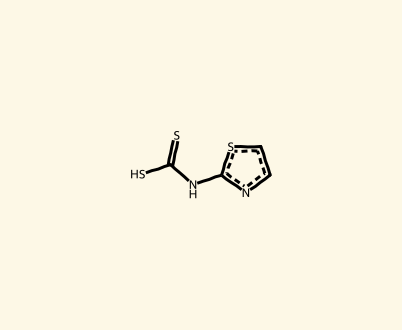 S=C(S)Nc1nccs1